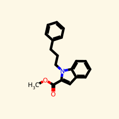 COC(=O)c1cc2ccccc2n1CCCc1ccccc1